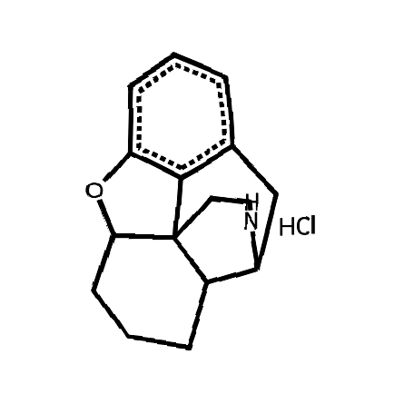 Cl.c1cc2c3c(c1)OC1CCCC4C(C2)NCCC314